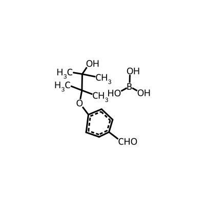 CC(C)(O)C(C)(C)Oc1ccc(C=O)cc1.OB(O)O